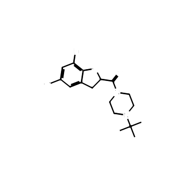 CC(C)(C)N1CCN(C(=O)C2Cc3cc(Cl)cc(Br)c3O2)CC1